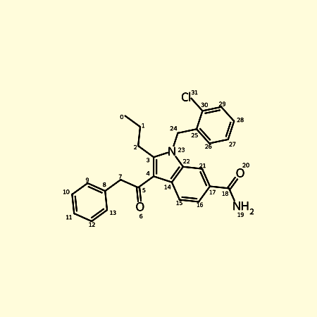 CCCc1c(C(=O)Cc2ccccc2)c2ccc(C(N)=O)cc2n1Cc1ccccc1Cl